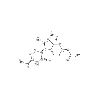 CC(C)C(=O)O[C@H]1CC=C2[C@@H](n3ccc(=NO)[nH]c3=O)[C@H](O)[C@H](O)[C@H]2C1